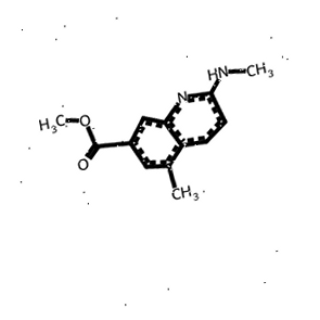 CNc1ccc2c(C)cc(C(=O)OC)cc2n1